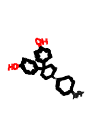 CCC[C@H]1CC[C@H](C2CCC(c3ccc(O)cc3)(c3ccc(O)cc3)CC2)CC1